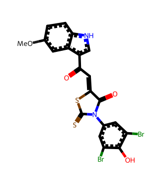 COc1ccc2[nH]cc(C(=O)/C=C3\SC(=S)N(c4cc(Br)c(O)c(Br)c4)C3=O)c2c1